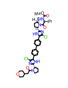 COC(=O)N[C@H](C(=O)N1[C@@H](C)CC[C@H]1c1nc(Cl)c(-c2ccc(-c3ccc(-c4[nH]c([C@@H]5CCCN5C(=O)CC5CCOCC5)nc4Cl)cc3)cc2)[nH]1)C(C)C